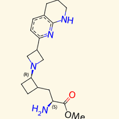 COC(=O)[C@@H](N)CC1CC[C@H]1N1CC(c2ccc3c(n2)NCCC3)C1